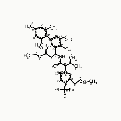 CCOC(=O)CC(NC(=O)C(C(C)C)n1cc(CCNC)c(C(F)(F)F)cc1=O)c1cc(-c2c(C)cc(C)cc2C)cc(C)c1F